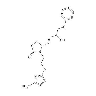 O=C(O)c1csc(SCCN2C(=O)CC[C@@H]2/C=C/C(O)COc2ccccc2)n1